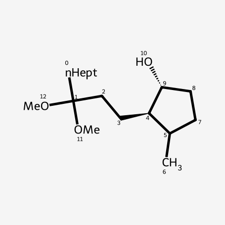 CCCCCCCC(CC[C@@H]1C(C)CC[C@H]1O)(OC)OC